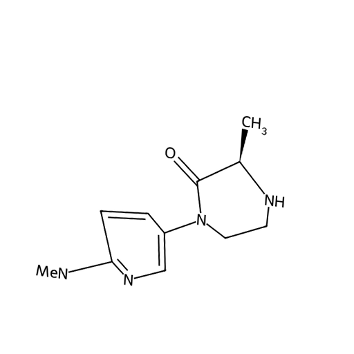 CNc1ccc(N2CCN[C@H](C)C2=O)cn1